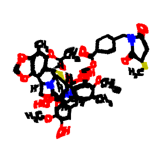 COc1cc2c(cc1O)CCN(C(=O)OCOC(=O)C1CCC(CN3C(=O)CC(SC)C3=O)CC1)[C@]21CS[C@@H]2c3c(OC(C)=O)c(C)c4c(c3[C@H](COC1=O)N1[C@@H]2[C@H]2c3c(cc(C)c(OC)c3O)C[C@@H]([C@@H]1O)N2C)OCO4